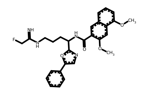 COc1cc2c(OC)cccc2cc1C(=O)NC(CCCNC(=N)CF)c1ncc(-c2ccccc2)o1